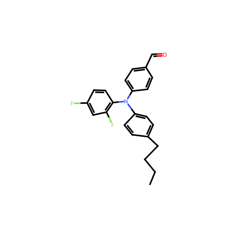 CCCCc1ccc(N(c2ccc(C=O)cc2)c2ccc(F)cc2F)cc1